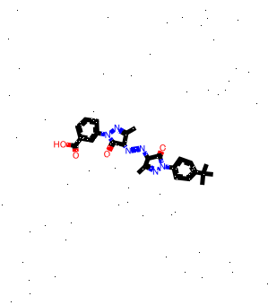 CC1=NN(c2ccc(C(C)(C)C)cc2)C(=O)C1/N=N/C1C(=O)N(c2cccc(C(=O)O)c2)N=C1C